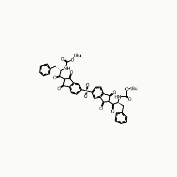 CC(C)(C)OC(=O)N[C@@H](Cc1ccccc1)C(=O)C1C(=O)c2ccc(S(=O)(=O)c3ccc4c(c3)C(=O)C(C(=O)[C@H](Cc3ccccc3)NC(=O)OC(C)(C)C)C4=O)cc2C1=O